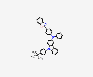 CC(C)(C)c1ccc(-n2c3ccccc3c3cc(N(c4ccccc4)c4ccc(-c5nc6ccccc6o5)cc4)ccc32)cc1